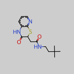 CC(C)(C)CCNC(=O)CC1Sc2ncccc2NC1=O